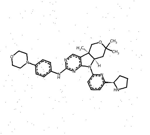 CC1(C)C[C@H]2N(c3cccc([C@H]4CCCN4)n3)c3nc(Nc4ccc(N5CCOCC5)cc4)ncc3[C@@]2(C)CO1